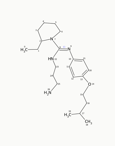 CCC1CCCCN1/C(=N/c1ccc(OCCC(C)C)cc1)NCCCN